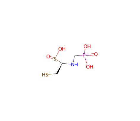 O=S(O)[C@H](CS)NCP(=O)(O)O